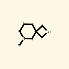 [CH2]N1CCCC2(COC2)C1